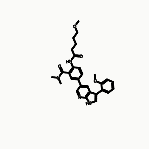 COCCCCC(=O)Nc1ccc(-c2cnc3[nH]cc(-c4ccccc4OC)c3c2)cc1C(=O)N(C)C